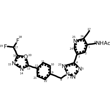 CC(=O)Nc1cc(-c2nnn(Cc3ccc(-c4nnc(C(F)F)o4)cc3)n2)cnc1C